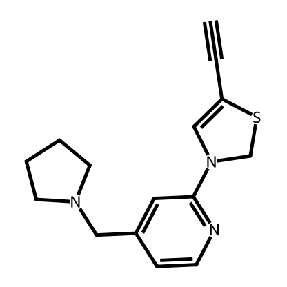 C#CC1=CN(c2cc(CN3CCCC3)ccn2)CS1